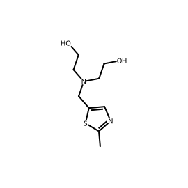 Cc1ncc(CN(CCO)CCO)s1